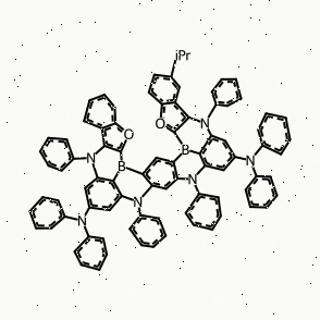 CC(C)c1ccc2oc3c(c2c1)N(c1ccccc1)c1cc(N(c2ccccc2)c2ccccc2)cc2c1B3c1cc3c(cc1N2c1ccccc1)N(c1ccccc1)c1cc(N(c2ccccc2)c2ccccc2)cc2c1B3c1oc3ccccc3c1N2c1ccccc1